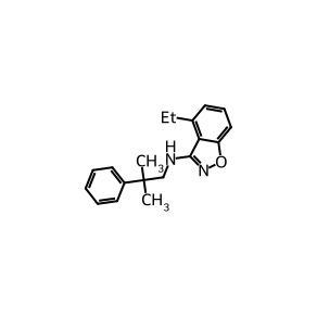 CCc1cccc2onc(NCC(C)(C)c3ccccc3)c12